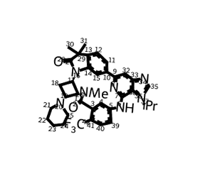 CNC(=O)c1cc(Nc2nc(-c3ccc4c(c3)N([C@H]3C[C@@H](N5CCCCC5)C3)C(=O)C4(C)C)cc3ncn(C(C)C)c23)ccc1C(F)(F)F